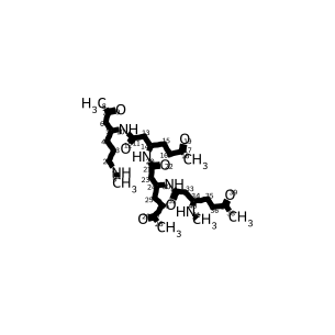 CNCCCC(CC(C)=O)NC(=O)CC(CCC(C)=O)NC(=O)CC(CCC(C)=O)NC(=O)CC(CCC(C)=O)NC